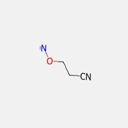 [N]OCCC#N